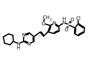 COc1nc(NS(=O)(=O)c2ccccc2Cl)ccc1/C=C/c1cnc(NC2CCCCC2)nc1